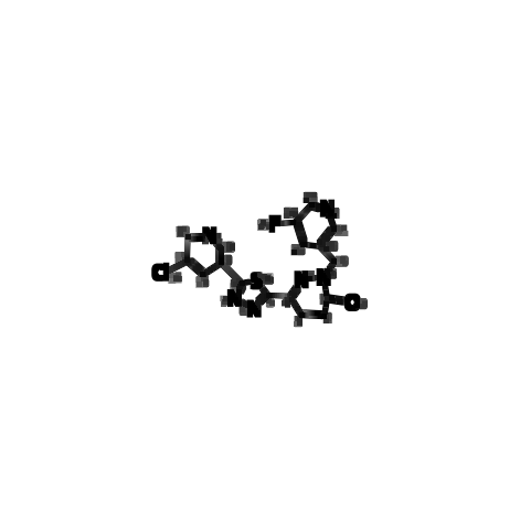 O=c1ccc(-c2nnc(-c3cncc(Cl)c3)s2)nn1Cc1cncc(F)c1